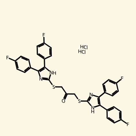 Cl.Cl.O=C(CSc1nc(-c2ccc(F)cc2)c(-c2ccc(F)cc2)[nH]1)CSc1nc(-c2ccc(F)cc2)c(-c2ccc(F)cc2)[nH]1